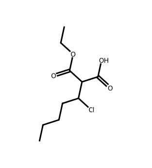 CCCCC(Cl)C(C(=O)O)C(=O)OCC